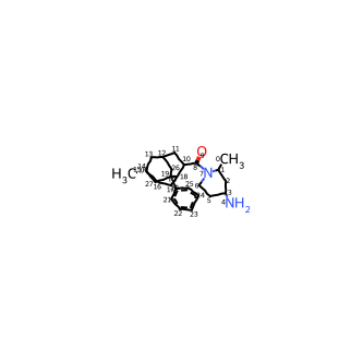 CC1CC(N)CCN1C(=O)C1CC2C[C@@]3(C)CCC1[C@@](c1ccccc1)(C2)C3